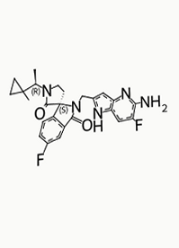 C[C@@H](N1CC[C@@]2(C1=O)c1ccc(F)cc1C(=O)N2Cc1cc2nc(N)c(F)cc2[nH]1)C1(C)CC1